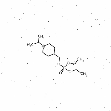 CCOP(=O)(OCC)OCC1CCN(C(C)C)CC1